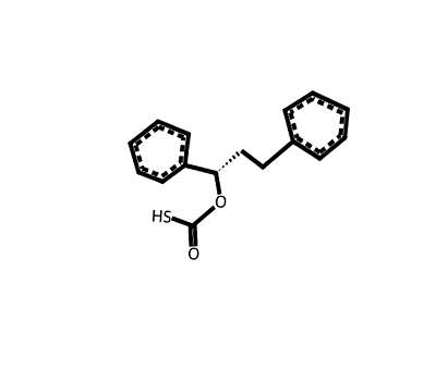 O=C(S)O[C@@H](CCc1ccccc1)c1ccccc1